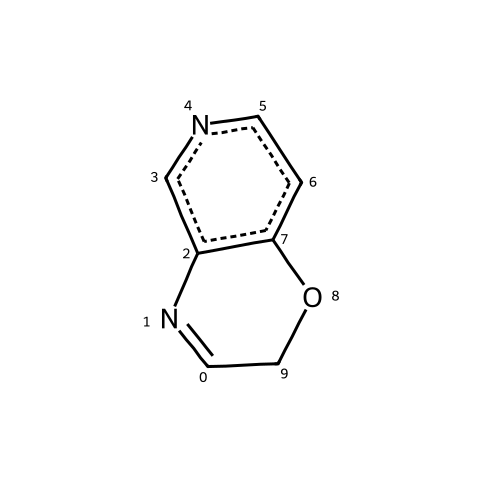 C1=Nc2cnccc2OC1